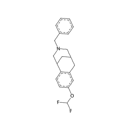 FC(F)Oc1ccc2c(c1)CC1CC2CN(Cc2ccccc2)C1